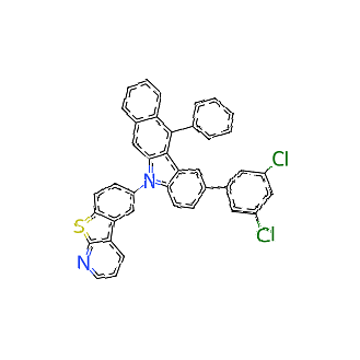 Clc1cc(Cl)cc(-c2ccc3c(c2)c2c(-c4ccccc4)c4ccccc4cc2n3-c2ccc3sc4ncccc4c3c2)c1